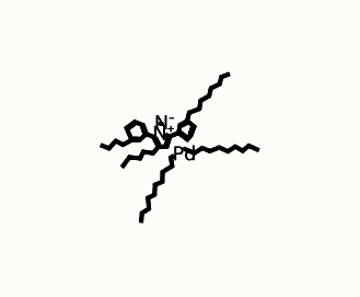 CCCCCCCCC[CH2][Pd][CH2]CCCCCCCCC.CCCCCCCCc1cccc(C2=CC(CCCCC)=C(c3cccc(CCCC)c3)[N+]2=[N-])c1